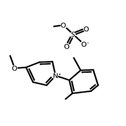 COS(=O)(=O)[O-].COc1cc[n+](-c2c(C)cccc2C)cc1